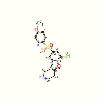 O=S(=O)(c1ccc(OC(F)(F)F)cc1)c1cc(Cl)c2oc3c(c2c1)CNCC3